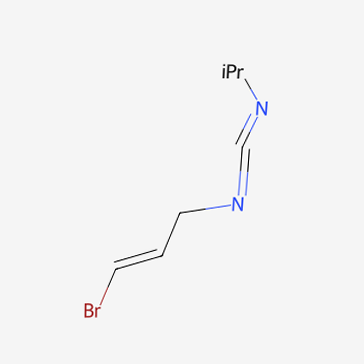 CC(C)N=C=NCC=CBr